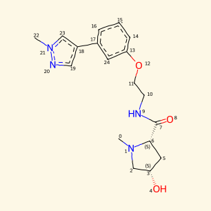 CN1C[C@@H](O)C[C@H]1C(=O)NCCOc1c[c]cc(-c2cnn(C)c2)c1